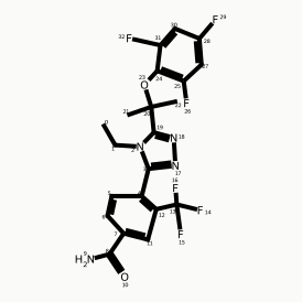 CCn1c(-c2ccc(C(N)=O)cc2C(F)(F)F)nnc1C(C)(C)Oc1c(F)cc(F)cc1F